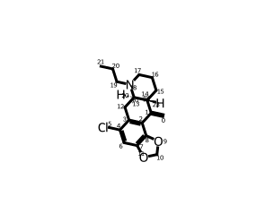 C=C1c2c(c(Cl)cc3c2OCO3)C[C@@H]2[C@@H]1CCCN2CCC